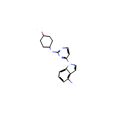 Nc1cccc2c1ccn2-c1ccnc(NC2CCC(O)CC2)n1